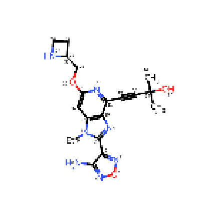 CCn1c(-c2nonc2N)nc2c(C#CC(C)(C)O)nc(OC[C@@H]3CCN3)cc21